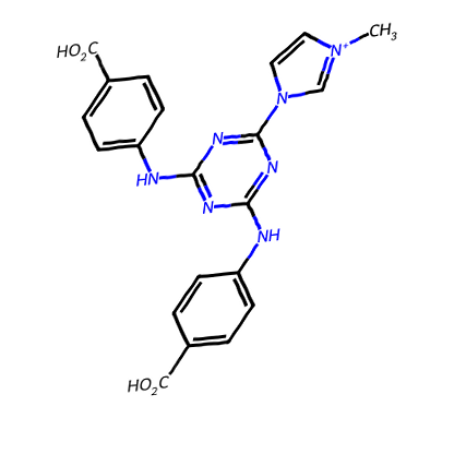 C[n+]1ccn(-c2nc(Nc3ccc(C(=O)O)cc3)nc(Nc3ccc(C(=O)O)cc3)n2)c1